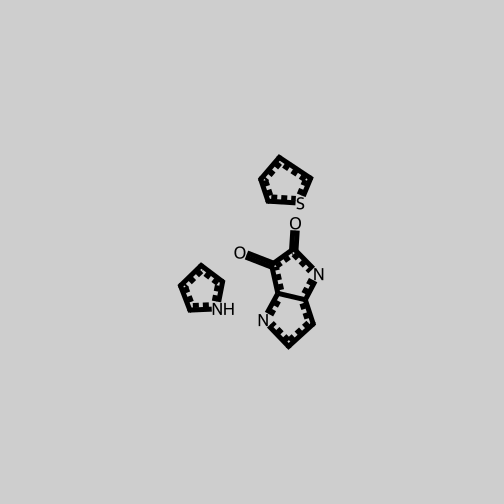 O=c1nc2ccnc-2c1=O.c1cc[nH]c1.c1ccsc1